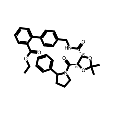 CCOC(=O)c1ccccc1-c1ccc(CNC(=O)[C@@H]2OC(C)(C)O[C@H]2C(=O)N2CCCC2c2ccccc2)cc1